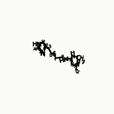 CN/C(=N\[N+](=O)[O-])NCCSCCc1c[nH]cn1